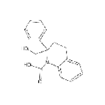 O=C(O)N1c2ccccc2CCC1(CO)c1ccccc1